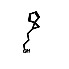 OCCCC1CC12C=CC=C2